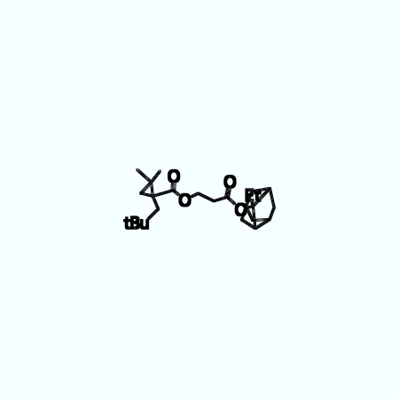 CCC1(OC(=O)CCOC(=O)C2(CC(C)(C)C)CC2(C)C)C2CC3CC(C2)C1C3